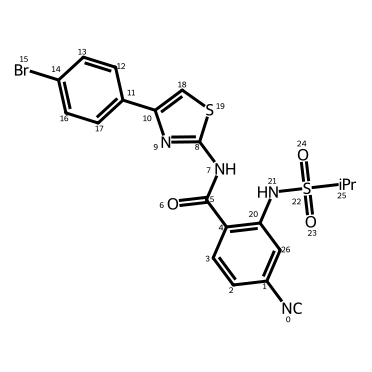 [C-]#[N+]c1ccc(C(=O)Nc2nc(-c3ccc(Br)cc3)cs2)c(NS(=O)(=O)C(C)C)c1